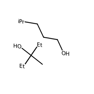 CC(C)CCCO.CCC(C)(O)CC